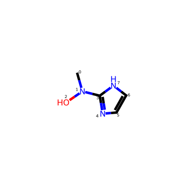 CN(O)c1ncc[nH]1